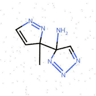 CC1(C2(N)C=NN=N2)C=CN=N1